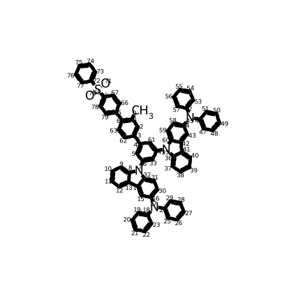 Cc1cc(-c2cc(-n3c4ccccc4c4cc(N(c5ccccc5)c5ccccc5)ccc43)cc(-n3c4ccccc4c4cc(N(c5ccccc5)c5ccccc5)ccc43)c2)ccc1-c1ccc(S(=O)(=O)c2ccccc2)cc1